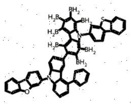 Bc1c(B)c(B)c2c(c1B)c1c(B)c(-c3ccc4c(c3)c3c(-c5ccccc5)cccc3n4-c3ccc4c(c3)oc3ccccc34)c(B)c(B)c1n2-c1ccc2c(c1)sc1ccccc12